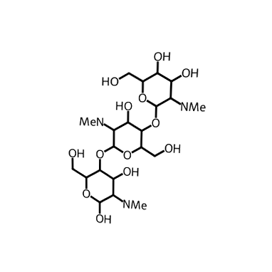 CNC1C(O)OC(CO)C(OC2OC(CO)C(OC3OC(CO)C(O)C(O)C3NC)C(O)C2NC)C1O